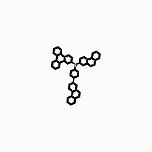 c1ccc2c(c1)ccc1cc(-c3ccc(N(c4ccc5c(ccc6ccccc65)c4)c4ccc5c6ccccc6c6ccccc6c5c4)cc3)ccc12